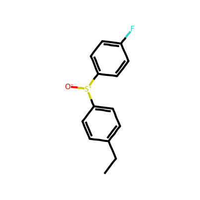 CCc1ccc([S+]([O-])c2ccc(F)cc2)cc1